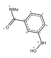 CNC(=O)c1cccc(BO)c1